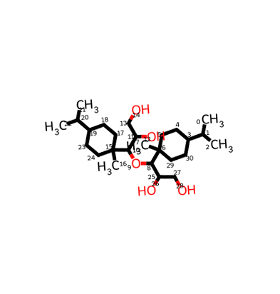 CC(C)C1CCC(C)(C(OC(C(O)CO)C2(C)CCC(C(C)C)CC2)C(O)CO)CC1